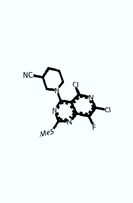 CSc1nc(N2CCCC(C#N)C2)c2c(Cl)nc(Cl)c(F)c2n1